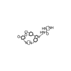 COc1cc(CN2CCN(Cc3ccc4c(c3)c(-c3ccc(Cl)cc3)cn4CCCNC(=O)C3CNCCN3)CC2)cc(OC)c1